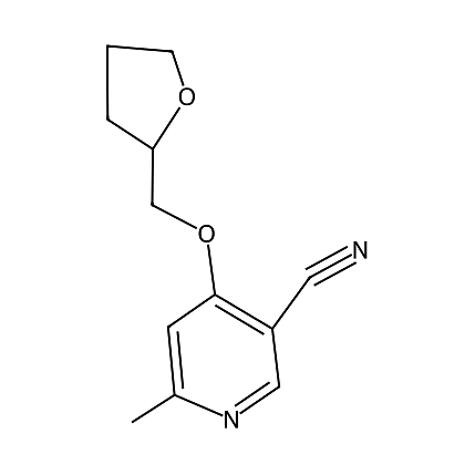 Cc1cc(OCC2CCCO2)c(C#N)cn1